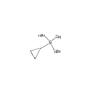 CCCC[Si](O)(CCCC)C1CC1